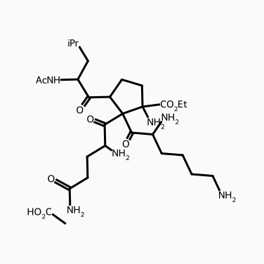 CC(=O)O.CCOC(=O)C1(N)CCC(C(=O)C(CC(C)C)NC(C)=O)C1(C(=O)C(N)CCCCN)C(=O)C(N)CCC(N)=O